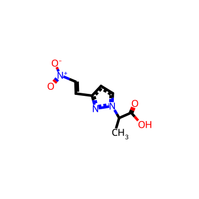 CC(C(=O)O)n1ccc(C=C[N+](=O)[O-])n1